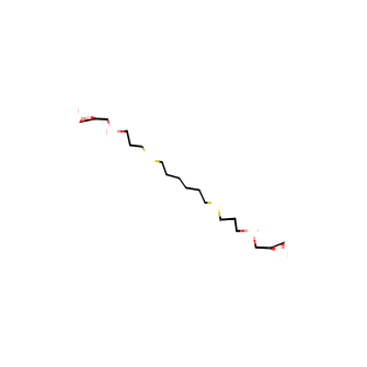 C(CCCSCCCOCC1CO1)CCSCCCOCC1CO1